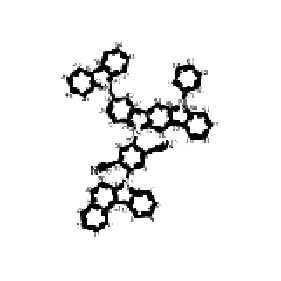 N#Cc1cc(-n2c3ccccc3c3c4ccccc4ccc32)c(C#N)cc1-n1c2ccc(-n3c4ccccc4c4ccccc43)cc2c2cc3c(cc21)c1ccccc1n3-c1ccccc1